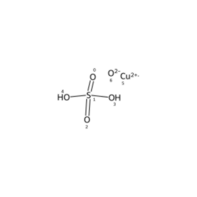 O=S(=O)(O)O.[Cu+2].[O-2]